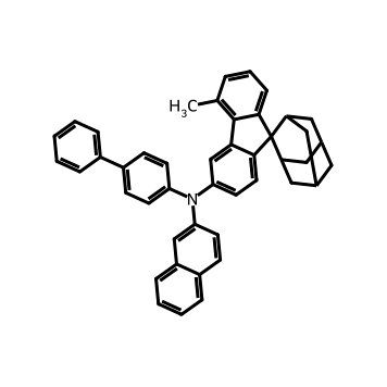 Cc1cccc2c1-c1cc(N(c3ccc(-c4ccccc4)cc3)c3ccc4ccccc4c3)ccc1C21C2CC3CC(C2)CC1C3